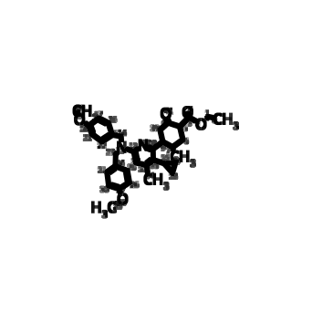 CCOC(=O)C1CC(C)C(c2nc(N(Cc3ccc(OC)cc3)Cc3ccc(OC)cc3)cc(C)c2C2CC2)CC1=O